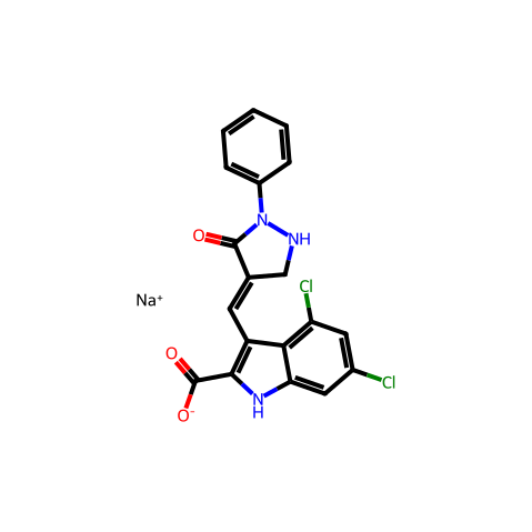 O=C([O-])c1[nH]c2cc(Cl)cc(Cl)c2c1/C=C1\CNN(c2ccccc2)C1=O.[Na+]